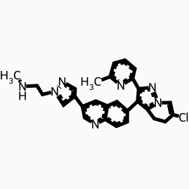 CNCCn1cc(-c2cnc3ccc(-c4c(-c5cccc(C)n5)nn5c4CCC(Cl)=C5)cc3c2)cn1